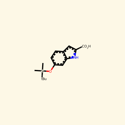 CC(C)(C)[Si](C)(C)Oc1ccc2cc(C(=O)O)[nH]c2c1